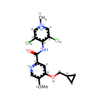 COc1cnc(C(=O)Nc2c(Cl)c[n+](C)cc2Cl)cc1OCC1CC1